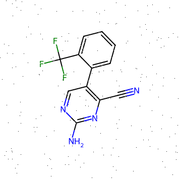 N#Cc1nc(N)ncc1-c1ccccc1C(F)(F)F